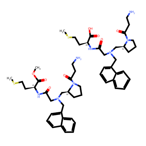 COC(=O)[C@H](CCSC)NC(=O)CN(Cc1cccc2ccccc12)C[C@@H]1CCCN1C(=O)CCN.CSCC[C@H](NC(=O)CN(Cc1cccc2ccccc12)C[C@@H]1CCCN1C(=O)CCN)C(=O)O